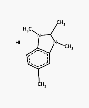 Cc1ccc2c(c1)N(C)C(C)N2C.I